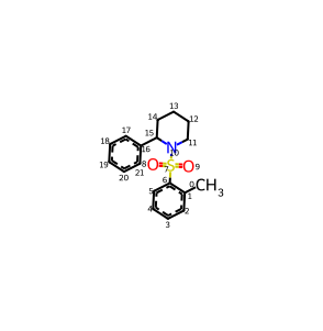 Cc1ccccc1S(=O)(=O)N1CCCCC1c1ccccc1